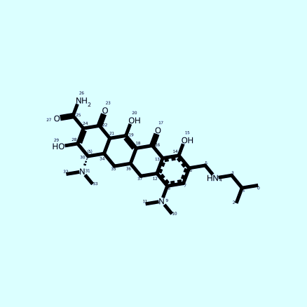 CC(C)CNCc1cc(N(C)C)c2c(c1O)C(=O)C1=C(O)C3C(=O)C(C(N)=O)=C(O)[C@@H](N(C)C)C3CC1C2